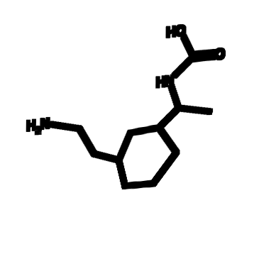 CC(NC(=O)O)C1CCCC(CCN)C1